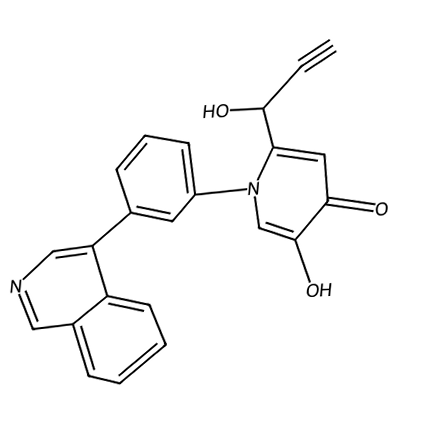 C#CC(O)c1cc(=O)c(O)cn1-c1cccc(-c2cncc3ccccc23)c1